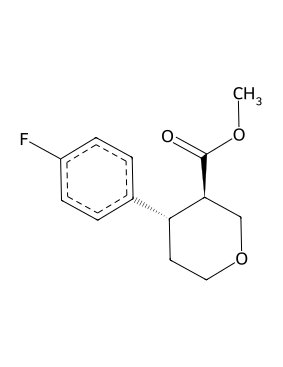 COC(=O)[C@H]1COCC[C@@H]1c1ccc(F)cc1